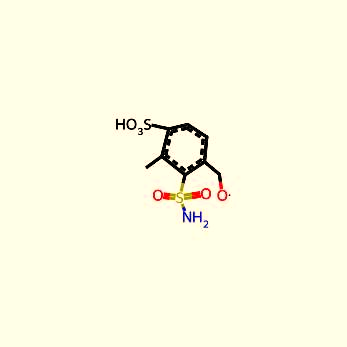 Cc1c(S(=O)(=O)O)ccc(C[O])c1S(N)(=O)=O